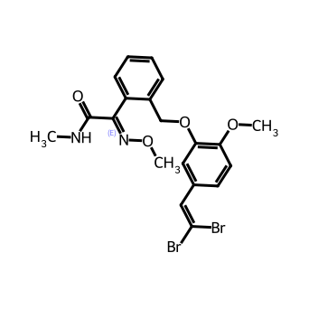 CNC(=O)/C(=N/OC)c1ccccc1COc1cc(C=C(Br)Br)ccc1OC